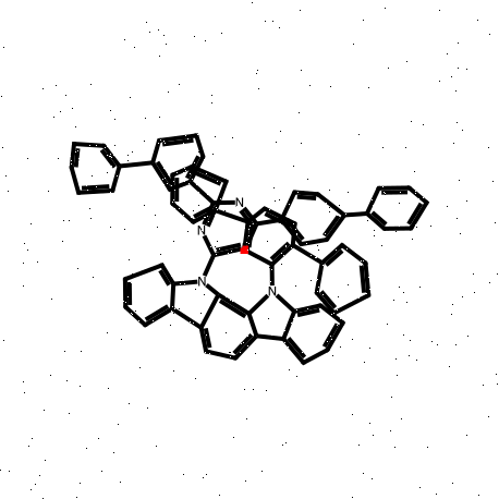 c1ccc(-c2ccc(-c3nc(-c4cccc(-c5ccccc5)c4)nc(-n4c5ccccc5c5ccc6c7ccccc7n(-c7cc(-c8ccccc8)ccc7-c7ccccc7)c6c54)n3)cc2)cc1